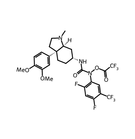 COc1ccc([C@@]23CC[C@@H](NC(=O)N(OC(=O)C(F)(F)F)c4cc(C(F)(F)F)c(F)cc4F)C[C@@H]2N(C)CC3)cc1OC